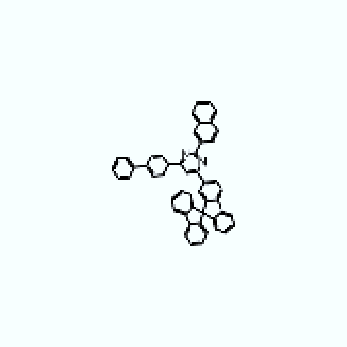 C1=CC(c2cc(-c3ccc4c(c3)C3(c5ccccc5-c5ccccc53)c3ccccc3-4)nc(-c3ccc4ccccc4c3)n2)CC=C1c1ccccc1